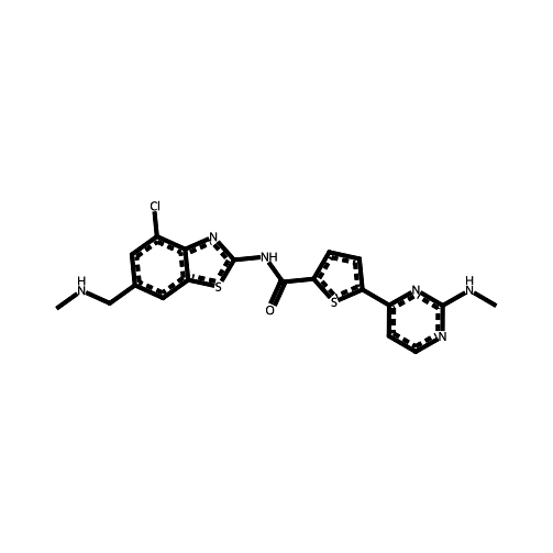 CNCc1cc(Cl)c2nc(NC(=O)c3ccc(-c4ccnc(NC)n4)s3)sc2c1